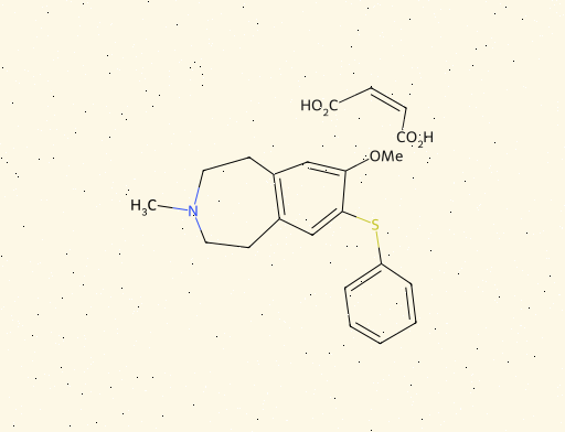 COc1cc2c(cc1Sc1ccccc1)CCN(C)CC2.O=C(O)/C=C\C(=O)O